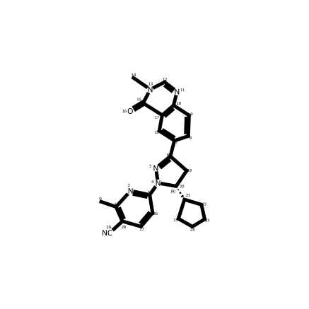 Cc1nc(N2N=C(c3ccc4ncn(C)c(=O)c4c3)C[C@@H]2C2CCCC2)ccc1C#N